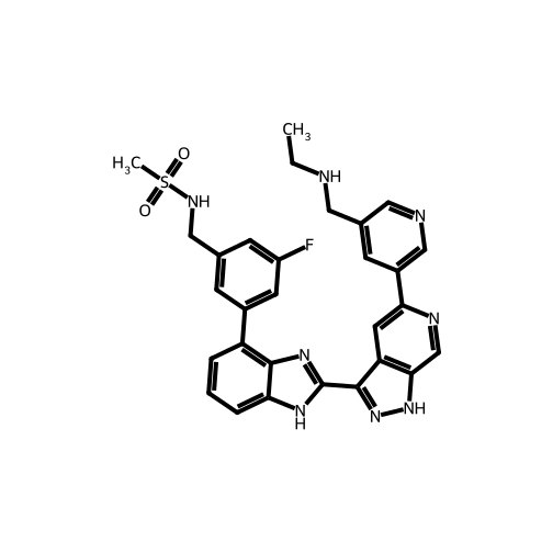 CCNCc1cncc(-c2cc3c(-c4nc5c(-c6cc(F)cc(CNS(C)(=O)=O)c6)cccc5[nH]4)n[nH]c3cn2)c1